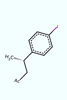 CC(=O)C[C@H](C)c1ccc(I)cc1